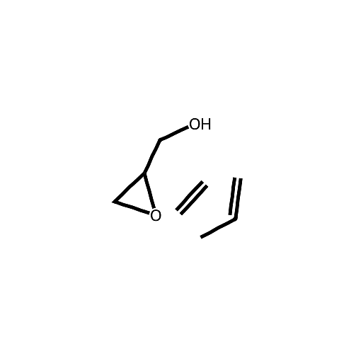 C=C.C=CC.OCC1CO1